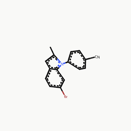 Cc1cc2ccc(Br)cc2n1-c1ccc(C#N)cc1